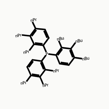 CCCCc1ccc(P(c2ccc(CCC)c(CCC)c2CCC)c2ccc(CCC)c(CCC)c2CCC)c(CCCC)c1CCCC